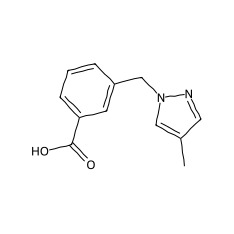 Cc1cnn(Cc2cccc(C(=O)O)c2)c1